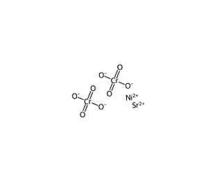 [Ni+2].[O]=[Cr](=[O])([O-])[O-].[O]=[Cr](=[O])([O-])[O-].[Sr+2]